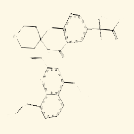 COc1cc(C(=O)[C@H]2C(=O)c3cc(C(C)(C)C(=O)O)ccc3OC23CCNCC3)nc2c(OC)cccc12